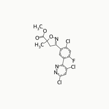 COC(=O)C1(C)CC(c2cc(-c3nnc(Cl)cc3Cl)c(F)cc2Cl)=NO1